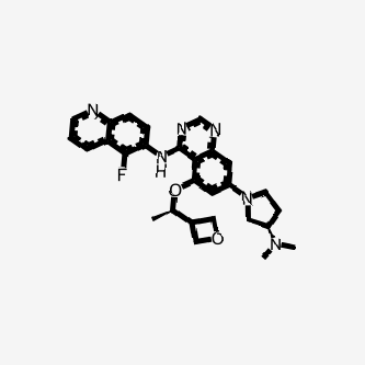 C[C@@H](Oc1cc(N2CC[C@@H](N(C)C)C2)cc2ncnc(Nc3ccc4ncccc4c3F)c12)C1COC1